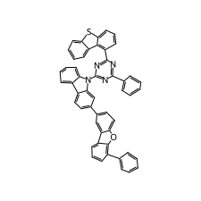 c1ccc(-c2nc(-c3cccc4sc5ccccc5c34)nc(-n3c4ccccc4c4ccc(-c5ccc6oc7c(-c8ccccc8)cccc7c6c5)cc43)n2)cc1